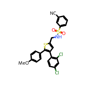 COc1ccc(-c2sc(CNS(=O)(=O)c3cccc(C#N)c3)cc2-c2ccc(Cl)cc2Cl)cc1